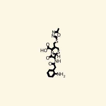 Cc1nnc(SCC2=C(C(=O)O)N3C(=O)C(NC(=O)Cc4ccccc4N)[C@@H]3SC2)o1